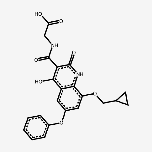 O=C(O)CNC(=O)c1c(O)c2cc(Oc3ccccc3)cc(OCC3CC3)c2[nH]c1=O